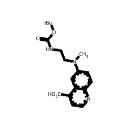 CN(CCNC(=O)OC(C)(C)C)c1ccc2nccc(C(=O)O)c2c1